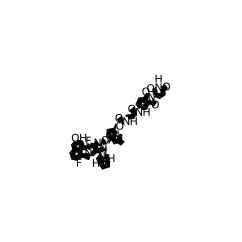 C#Cc1c(F)ccc2cc(O)cc(-c3ncc4c(N5C[C@H]6CC[C@@H](C5)N6)nc(OC[C@@]56CC[C@@H](COC(=O)NCCC(=O)Nc7ccc8c(c7)C(=O)N(C7CCC(=O)NC7=O)C8=O)N5CC(=C)C6)nc4c3F)c12